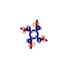 CCOC(=O)c1cncc(N2CCCN(c3cncc(C(=O)OCC)c3)CCN(c3cncc(C(=O)OCC)c3)CCCN(c3cncc(C(=O)OCC)c3)CC2)c1